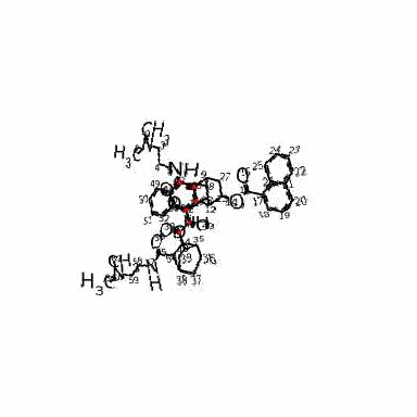 CN(C)CCNC(=O)C1C2CCC(C(OC(=O)c3cccc4ccccc34)C2)C1C(=O)NC(=O)C1C2CCC(CC2OC(=O)c2cccc3ccccc23)C1C(=O)NCCN(C)C